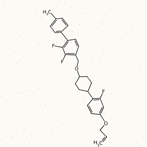 C=CCOc1ccc(C2CCC(OCc3ccc(-c4ccc(C)cc4)c(F)c3F)CC2)c(F)c1